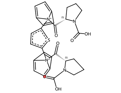 O=C(O)N1CCC[C@H]1C(=O)[N+]1(c2ccc([N+]3(C(=O)[C@@H]4CCCN4C(=O)O)C4=CC=C3C=C4)s2)C2=CC=C1C=C2